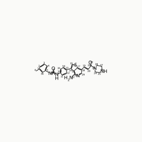 Cc1cccc(NC(=O)Nc2ccc(-c3csc4c(C=CC(=O)N5CCNCC5)cnc(N)c34)cc2)c1